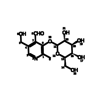 Cc1ncc(CO)c(C=O)c1OC1O[C@H](CO)[C@@H](O)[C@H](O)[C@H]1O